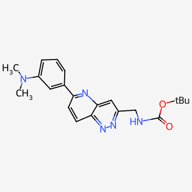 CN(C)c1cccc(-c2ccc3nnc(CNC(=O)OC(C)(C)C)cc3n2)c1